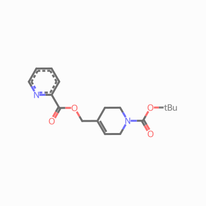 CC(C)(C)OC(=O)N1CC=C(COC(=O)c2ccccn2)CC1